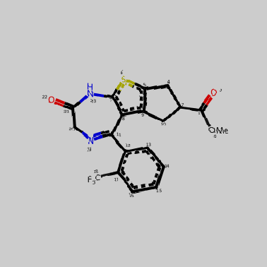 COC(=O)C1Cc2sc3c(c2C1)C(c1ccccc1C(F)(F)F)=NCC(=O)N3